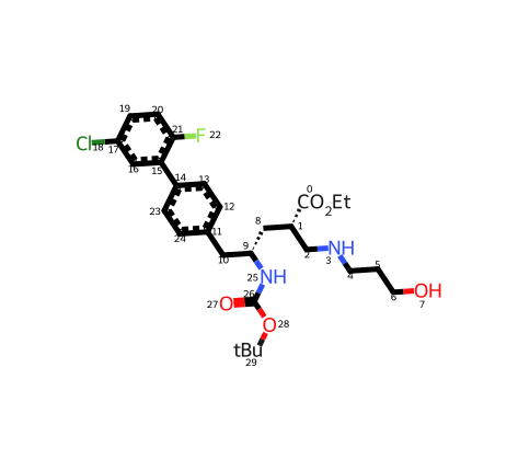 CCOC(=O)[C@H](CNCCCO)C[C@@H](Cc1ccc(-c2cc(Cl)ccc2F)cc1)NC(=O)OC(C)(C)C